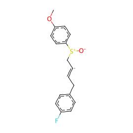 COc1ccc([S+]([O-])C/[C]=C/Cc2ccc(F)cc2)cc1